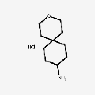 Cl.NC1CCC2(CCOCC2)CC1